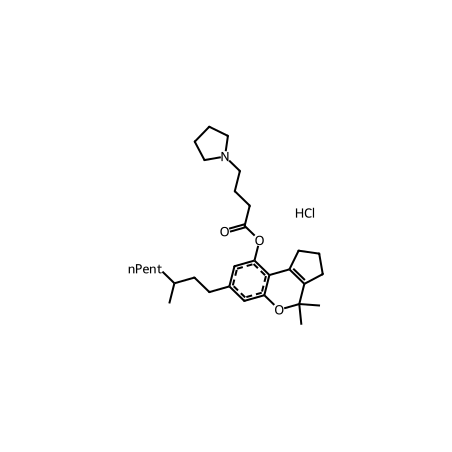 CCCCCC(C)CCc1cc(OC(=O)CCCN2CCCC2)c2c(c1)OC(C)(C)C1=C2CCC1.Cl